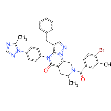 Cc1cc(C(=O)N2Cc3c(c(=O)n(-c4ccc(-n5ncnc5C)cc4)c4c(Cc5ccccc5)cnn34)CC2C)ccc1Br